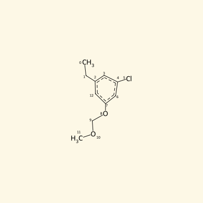 CCc1cc(Cl)cc(OCOC)c1